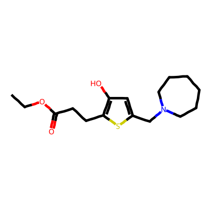 CCOC(=O)CCc1sc(CN2CCCCCC2)cc1O